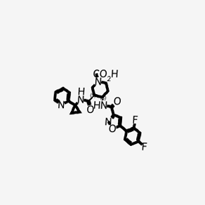 O=C(N[C@H]1CCN(C(=O)O)C[C@@H]1C(=O)NC1(c2ccccn2)CC1)c1cc(-c2ccc(F)cc2F)on1